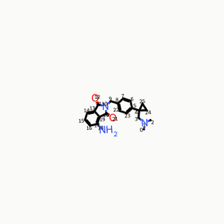 CN(C)CC1(c2ccc(CN3C(=O)c4cccc(N)c4C3=O)cc2)CC1